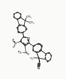 CC1(C)c2ccccc2-c2ccc(-c3sc(-c4ccc5c(c4)C(C)(C#N)c4ccccc4-5)c([N+](=O)[O-])c3[N+](=O)[O-])cc21